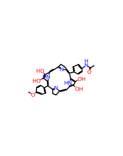 COc1ccc(-c2c3nc(cc4[nH]c(c(O)c4O)c(-c4ccc(NC(C)=O)cc4)c4nc(cc5[nH]c2c(O)c5O)CC4)CC3)cc1